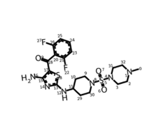 CN1CCN(S(=O)(=O)N2CCC(Nc3nc(N)c(C(=O)c4c(F)cccc4F)s3)CC2)CC1